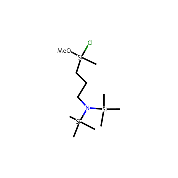 CO[Si](C)(Cl)CCCN([Si](C)(C)C)[Si](C)(C)C